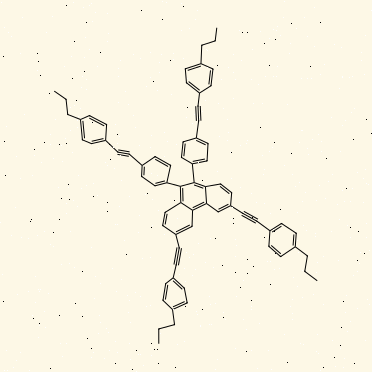 CCCc1ccc(C#Cc2ccc(-c3c(-c4ccc(C#Cc5ccc(CCC)cc5)cc4)c4ccc(C#Cc5ccc(CCC)cc5)cc4c4cc(C#Cc5ccc(CCC)cc5)ccc34)cc2)cc1